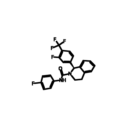 O=C(Nc1ccc(F)cc1)N1CCc2ccccc2[C@@H]1c1ccc(C(F)(F)F)c(F)c1